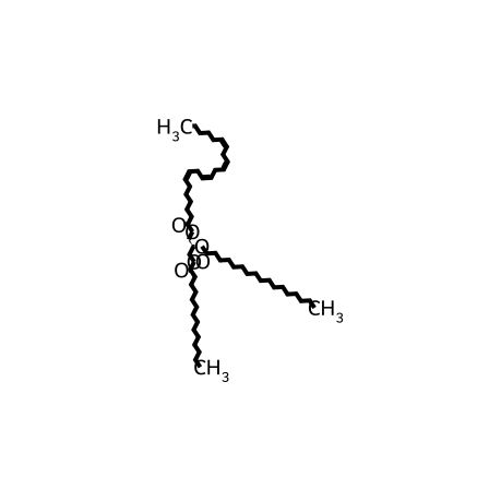 CCCCC/C=C\C/C=C\C/C=C\C/C=C\CCCCCC(=O)OC[C@@H](COC(=O)CCCCCCCCCCCCC)OC(=O)CCCCCCCCCCCCCCCC